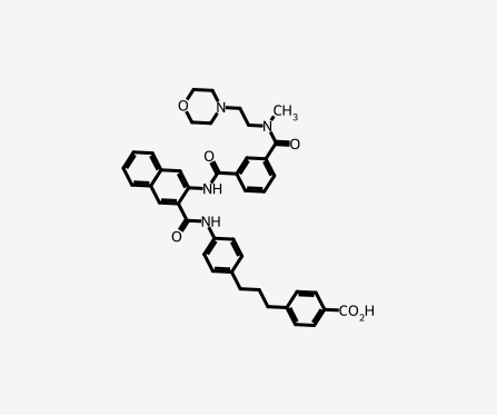 CN(CCN1CCOCC1)C(=O)c1cccc(C(=O)Nc2cc3ccccc3cc2C(=O)Nc2ccc(CCCc3ccc(C(=O)O)cc3)cc2)c1